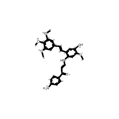 COc1cc(NC=CC(=O)c2ccc(N)cc2)c(C=Cc2cc(OC)c(OC)c(OC)c2)cc1O